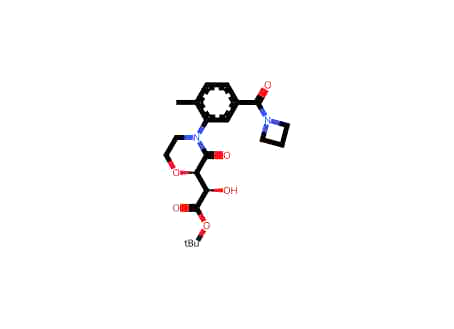 Cc1ccc(C(=O)N2CCC2)cc1N1CCO[C@H]([C@@H](O)C(=O)OC(C)(C)C)C1=O